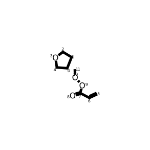 C1CCOC1.C=CC(=O)OOC